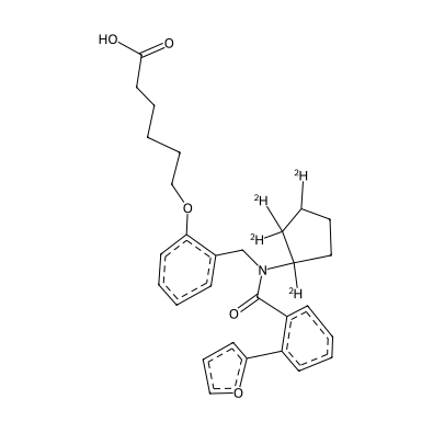 [2H]C1CCC([2H])(N(Cc2ccccc2OCCCCCC(=O)O)C(=O)c2ccccc2-c2ccco2)C1([2H])[2H]